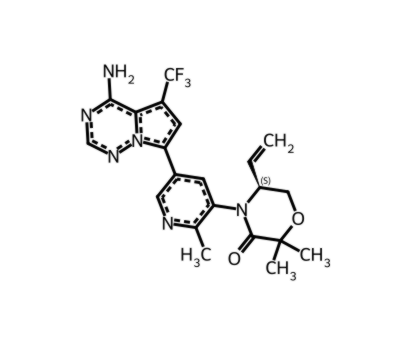 C=C[C@H]1COC(C)(C)C(=O)N1c1cc(-c2cc(C(F)(F)F)c3c(N)ncnn23)cnc1C